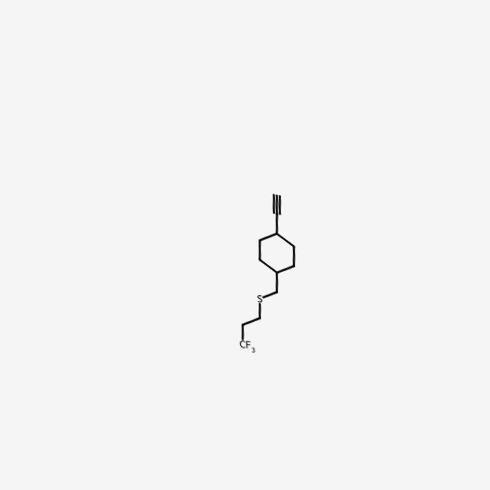 C#CC1CCC(CSCCC(F)(F)F)CC1